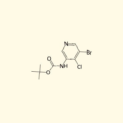 CC(C)(C)OC(=O)Nc1cncc(Br)c1Cl